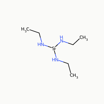 CCN[Si](NCC)NCC